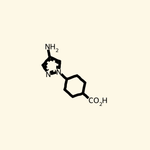 Nc1cnn(C2CCC(C(=O)O)CC2)c1